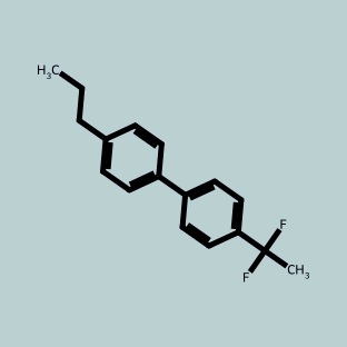 CCCc1ccc(-c2ccc(C(C)(F)F)cc2)cc1